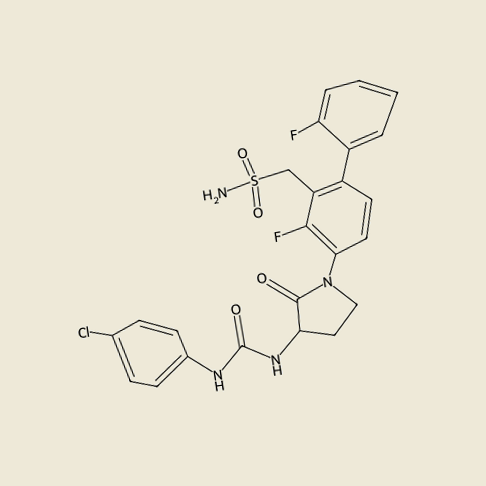 NS(=O)(=O)Cc1c(-c2ccccc2F)ccc(N2CCC(NC(=O)Nc3ccc(Cl)cc3)C2=O)c1F